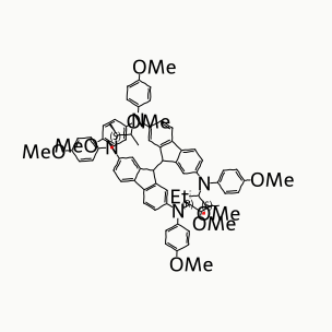 CCC([C@H](C)OC)N(c1ccc(OC)cc1)c1ccc2c(c1)C(C1c3cc(N(c4ccc(OC)cc4)[C@H](C)C(C)OC)ccc3-c3ccc(N(c4ccc(OC)cc4)[C@@H](C)C(C)OC)cc31)c1cc(N(c3ccc(OC)cc3)c3ccc(OC)cc3)ccc1-2